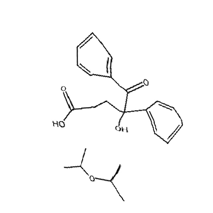 CC(C)OC(C)C.O=C(O)CCC(O)(C(=O)c1ccccc1)c1ccccc1